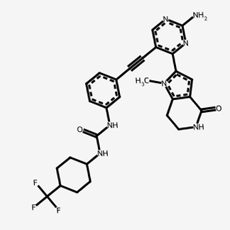 Cn1c(-c2nc(N)ncc2C#Cc2cccc(NC(=O)NC3CCC(C(F)(F)F)CC3)c2)cc2c1CCNC2=O